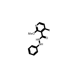 COc1nccc(I)c1C(=O)NNc1ccccc1